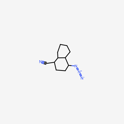 N#CC1CCC(N=[N+]=[N-])C2CCCCC12